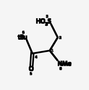 CNC(CS(=O)(=O)O)C(=O)C(C)(C)C